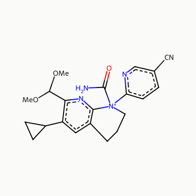 COC(OC)c1nc2c(cc1C1CC1)CCC[N+]2(C(N)=O)c1ccc(C#N)cn1